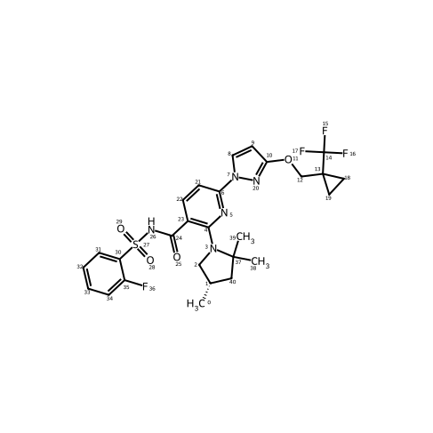 C[C@@H]1CN(c2nc(-n3ccc(OCC4(C(F)(F)F)CC4)n3)ccc2C(=O)NS(=O)(=O)c2ccccc2F)C(C)(C)C1